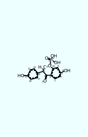 CC(C(=O)c1ccc(O)cc1OP(=O)(O)O)c1ccc(O)cc1